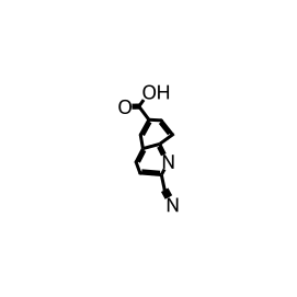 N#Cc1ccc2cc(C(=O)O)ccc2n1